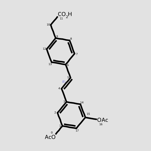 CC(=O)Oc1cc(/C=C/c2ccc(CC(=O)O)cc2)cc(OC(C)=O)c1